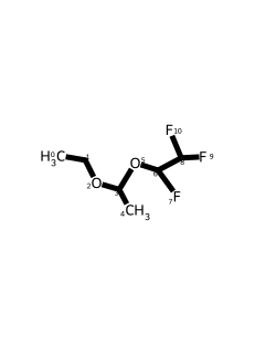 CCOC(C)OC(F)C(F)F